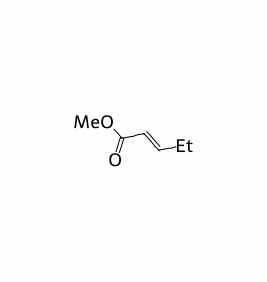 CCC=CC(=O)OC